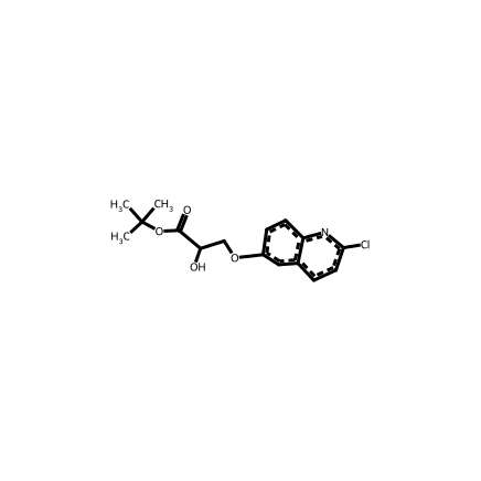 CC(C)(C)OC(=O)C(O)COc1ccc2nc(Cl)ccc2c1